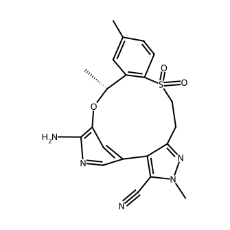 Cc1ccc2c(c1)[C@@H](C)Oc1cc(cnc1N)-c1c(nn(C)c1C#N)CCS2(=O)=O